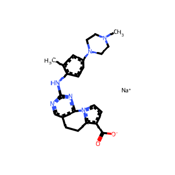 Cc1cc(N2CCN(C)CC2)ccc1Nc1ncc2c(n1)-n1ccc(C(=O)[O-])c1CC2.[Na+]